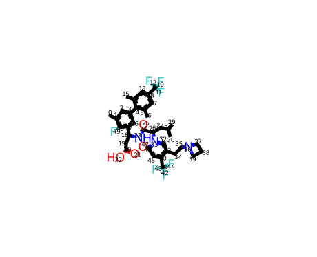 Cc1cc(-c2c(C)cc(C(F)(F)F)cc2C)cc(C(CC(=O)O)NC(=O)C(CC(C)C)n2cc(CCN3CCC3)c(C(F)(F)F)cc2=O)c1F